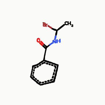 CC(Br)NC(=O)c1ccccc1